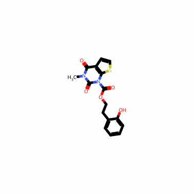 Cn1c(=O)c2ccsc2n(C(=O)OCCc2ccccc2O)c1=O